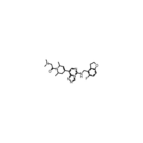 CC1C=C(c2cnc(NCc3c(F)ccc4c3CCO4)n3cnnc23)CC(C)N1C(=O)CN(C)C